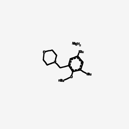 [CH2]CCCOc1c(CN2CCOCC2)cc(C(C)(C)C)cc1C(C)(C)C.[MgH2]